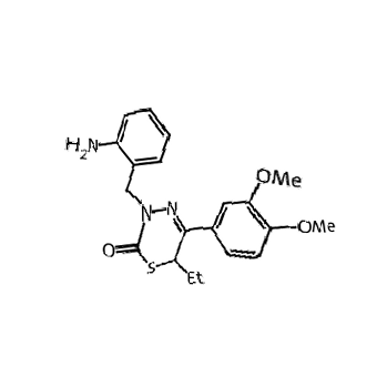 CCC1SC(=O)N(Cc2ccccc2N)N=C1c1ccc(OC)c(OC)c1